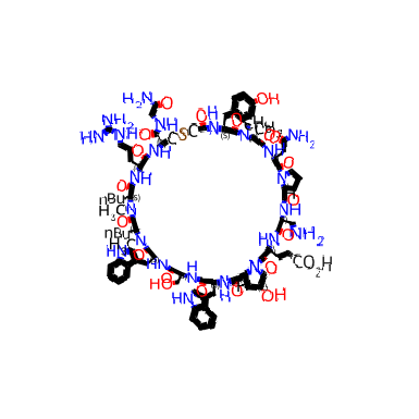 CCCC[C@H]1C(=O)N(C)[C@@H](CCCC)C(=O)N[C@@H](CCCNC(=N)N)C(=O)N[C@H](C(=O)NCC(N)=O)CSCC(=O)N[C@@H](Cc2ccc(O)cc2)C(=O)N(C)[C@@H](C)C(=O)N[C@@H](CC(N)=O)C(=O)N2CCC[C@H]2C(=O)N[C@@H](CN)C(=O)N[C@@H](CCC(=O)O)C(=O)N2C[C@H](O)C[C@H]2C(=O)N[C@@H](Cc2c[nH]c3ccccc23)C(=O)N[C@@H](CO)C(=O)N[C@@H](Cc2c[nH]c3ccccc23)C(=O)N1C